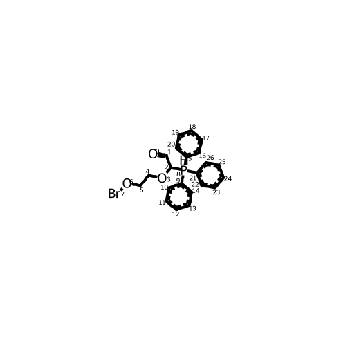 O=CC(OCCOBr)[PH](c1ccccc1)(c1ccccc1)c1ccccc1